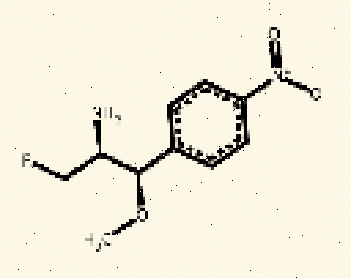 CO[C@H](c1ccc([N+](=O)[O-])cc1)[C@H](N)CF